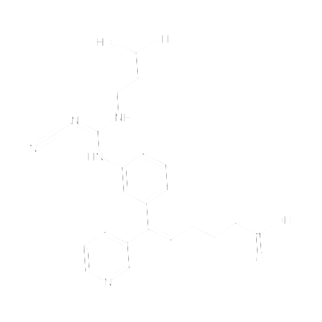 CC(C)CCN/C(=N/C#N)Nc1cccc(/C(=C\CCCC(=O)O)c2cccnc2)c1